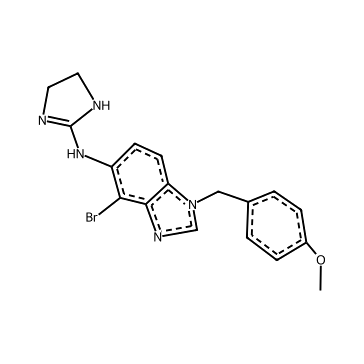 COc1ccc(Cn2cnc3c(Br)c(NC4=NCCN4)ccc32)cc1